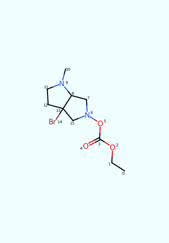 CCOC(=O)ON1CC2N(C)CCC2(Br)C1